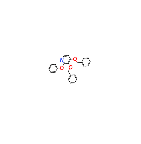 c1ccc(COc2ccnc(Oc3ccccc3)c2OCc2ccccc2)cc1